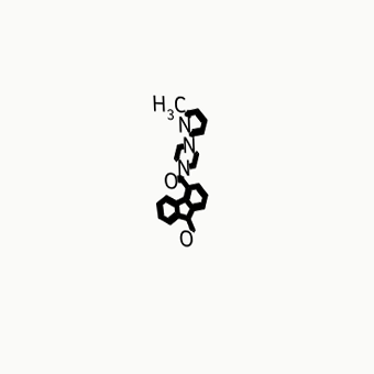 Cc1cccc(N2CCN(C(=O)c3cccc4c3-c3ccccc3C4C=O)CC2)n1